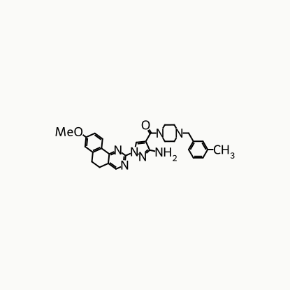 COc1ccc2c(c1)CCc1cnc(-n3cc(C(=O)N4CCN(Cc5cccc(C)c5)CC4)c(N)n3)nc1-2